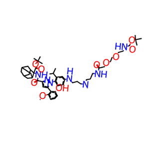 COc1cccc(O)c1-c1cc(C(=O)NC2(C(=O)OC(C)(C)C)C3CC4CC(C3)CC2C4)nn1-c1ccc(NCCCN(C)CCCNC(=O)COCCOCCNC(=O)OC(C)(C)C)cc1C(C)C